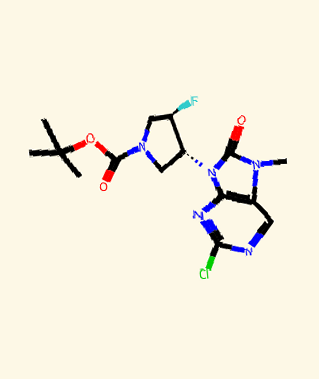 Cn1c(=O)n([C@@H]2CN(C(=O)OC(C)(C)C)C[C@H]2F)c2nc(Cl)ncc21